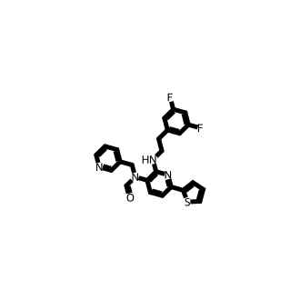 O=CN(Cc1cccnc1)c1ccc(-c2cccs2)nc1NCCc1cc(F)cc(F)c1